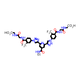 CCNC(=O)c1cc(-c2cn(-c3ccc(C(=O)NCC(=O)NCC(=O)O)c(C(F)(F)F)c3)nn2)nc(-c2cn(-c3ccc(C(=O)NCC(=O)NCC(=O)O)c(C(F)(F)F)c3)nn2)c1